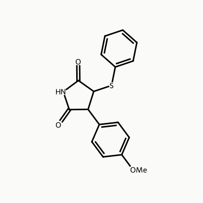 COc1ccc(C2C(=O)NC(=O)C2Sc2ccccc2)cc1